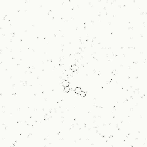 CN1CCN(c2ccc(NC(=O)c3cnc4[nH]cc(-c5ccc6ncnn6c5)c4c3)cn2)CC1